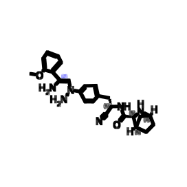 COc1ccccc1/C(N)=C/N(N)c1ccc(C[C@@H](C#N)NC(=O)[C@H]2N[C@@H]3CC[C@H]2C3)cc1